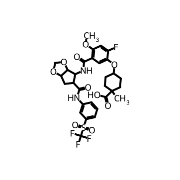 COc1cc(F)c(OC2CCC(C)(C(=O)O)CC2)cc1C(=O)NC1C(C(=O)Nc2cccc(S(=O)(=O)C(F)(F)F)c2)CC2OCOC21